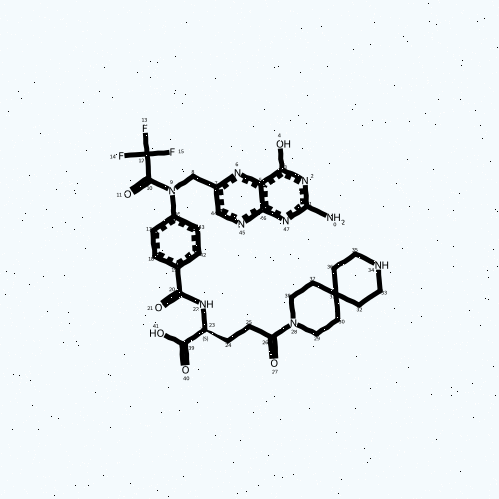 Nc1nc(O)c2nc(CN(C(=O)C(F)(F)F)c3ccc(C(=O)N[C@@H](CCC(=O)N4CCC5(CCNCC5)CC4)C(=O)O)cc3)cnc2n1